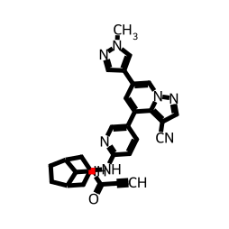 C#CC(=O)NC1C2CCC1CC(Nc1ccc(-c3cc(-c4cnn(C)c4)cn4ncc(C#N)c34)cn1)C2